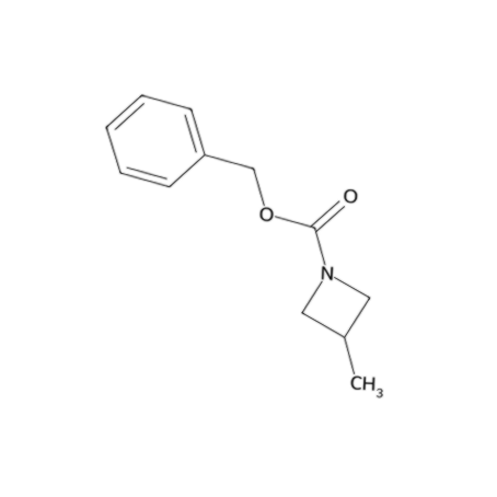 CC1CN(C(=O)OCc2ccccc2)C1